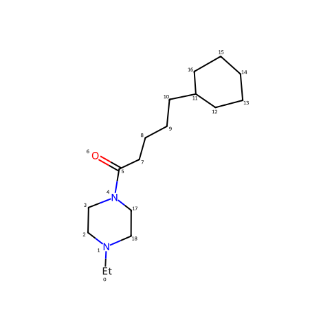 CCN1CCN(C(=O)CCCCC2CCCCC2)CC1